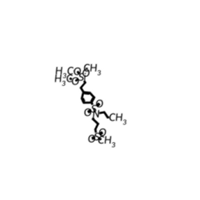 CCCN(CCCS(C)(=O)=O)S(=O)(=O)c1ccc(CC[Si](OC)(OC)OC)cc1